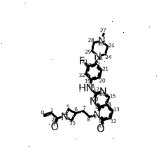 C=CC(=O)N1CC(CCn2c(=O)ccc3cnc(Nc4ccc(N5CCN(C)CC5)c(F)c4)nc32)C1